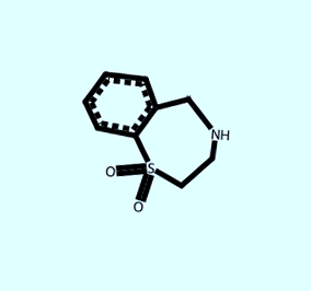 O=S1(=O)CCN[C]c2ccccc21